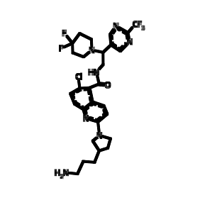 NCCCC1CCN(c2ccc3c(C(=O)NCC(c4cnc(C(F)(F)F)nc4)N4CCC(F)(F)CC4)c(Cl)ccc3n2)C1